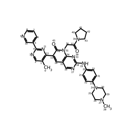 Cc1cnc(-c2cccnc2)nc1-c1cc2cnc(Nc3ccc(N4CCN(C)CC4)cc3)nc2n(CC(=O)N2CCCC2)c1=O